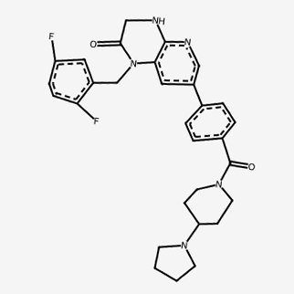 O=C(c1ccc(-c2cnc3c(c2)N(Cc2cc(F)ccc2F)C(=O)CN3)cc1)N1CCC(N2CCCC2)CC1